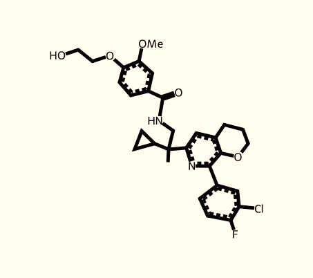 COc1cc(C(=O)NCC(C)(c2cc3c(c(-c4ccc(F)c(Cl)c4)n2)OCCC3)C2CC2)ccc1OCCO